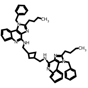 CCCCc1nc2c(NCC3CC(CNc4nc5ccccc5c5c4nc(CCCC)n5Cc4ccccc4)C3)nc3ccccc3c2n1Cc1ccccc1